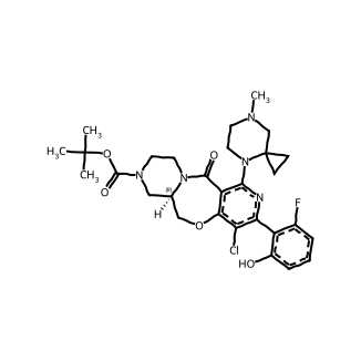 CN1CCN(c2nc(-c3c(O)cccc3F)c(Cl)c3c2C(=O)N2CCN(C(=O)OC(C)(C)C)C[C@@H]2CO3)C2(CC2)C1